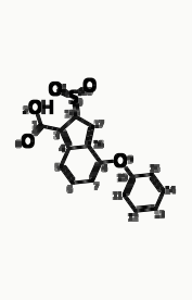 O=C(O)C1=c2cccc(Oc3ccccc3)c2=CC1=S(=O)=O